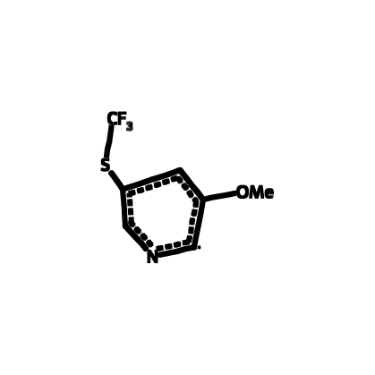 COc1[c]ncc(SC(F)(F)F)c1